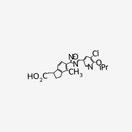 Cc1c(-c2noc(-c3cnc(OC(C)C)c(Cl)c3)n2)ccc2c1CCC2CC(=O)O